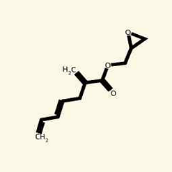 C=CC=CCC(=C)C(=O)OCC1CO1